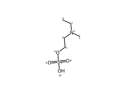 CCN(C)CCOS(=O)(=O)O